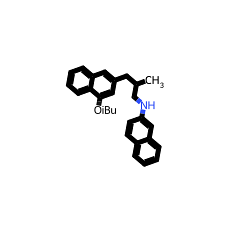 CC(C)COc1cc(CC(C)CNc2ccc3ccccc3c2)cc2ccccc12